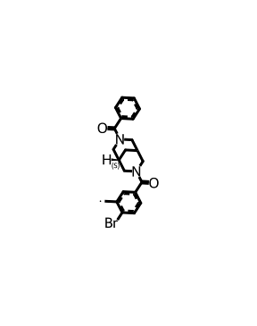 [CH2]c1cc(C(=O)N2CC3C[C@@H](CN(C(=O)c4ccccc4)C3)C2)ccc1Br